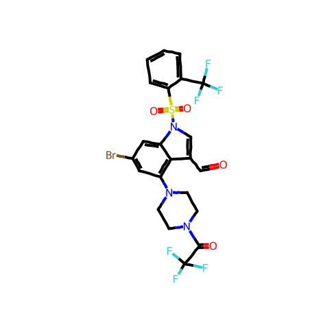 O=Cc1cn(S(=O)(=O)c2ccccc2C(F)(F)F)c2cc(Br)cc(N3CCN(C(=O)C(F)(F)F)CC3)c12